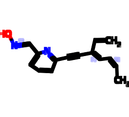 C=C/C(C#Cc1cccc(/C=N/O)n1)=C\C=C/C